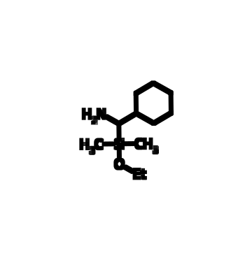 CCO[Si](C)(C)C(N)C1CCCCC1